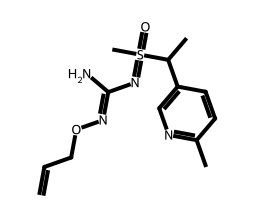 C=CCO/N=C(\N)N=S(C)(=O)C(C)c1ccc(C)nc1